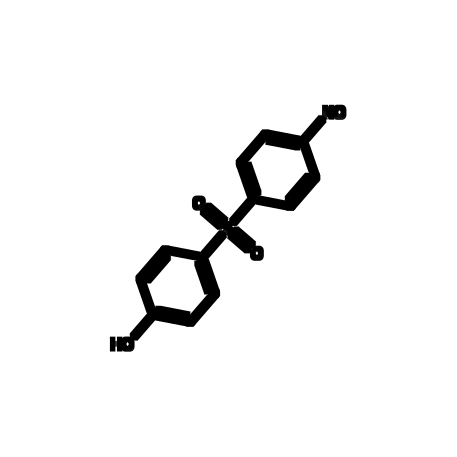 O=Nc1ccc(S(=O)(=O)c2ccc(O)cc2)cc1